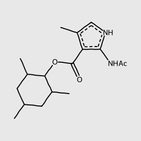 CC(=O)Nc1[nH]cc(C)c1C(=O)OC1C(C)CC(C)CC1C